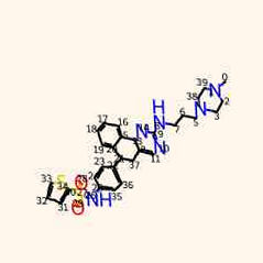 CN1CCN(CCCNc2ncc3c(n2)-c2ccccc2C(c2ccc(NS(=O)(=O)c4cccs4)cc2)C3)CC1